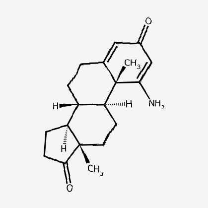 C[C@]12C(N)=CC(=O)C=C1CC[C@@H]1[C@@H]2CC[C@]2(C)C(=O)CC[C@@H]12